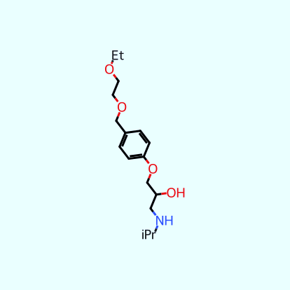 CCOCCOCc1ccc(OCC(O)CNC(C)C)cc1